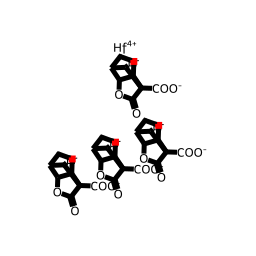 O=C([O-])C12C(=O)OC3C(CCC31)C2Br.O=C([O-])C12C(=O)OC3C(CCC31)C2Br.O=C([O-])C12C(=O)OC3C(CCC31)C2Br.O=C([O-])C12C(=O)OC3C(CCC31)C2Br.[Hf+4]